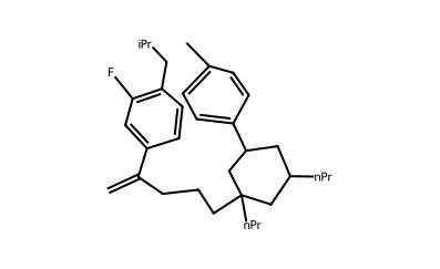 C=C(CCCC1(CCC)CC(CCC)CC(c2ccc(C)cc2)C1)c1ccc(CC(C)C)c(F)c1